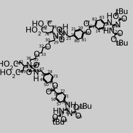 CC(C)(C)OC(=O)N=C(NC(=O)OC(C)(C)C)Nc1ccc(C(=O)Oc2ccc(CNS(=O)(=O)N(CCOCCOCCN(C(CC(=O)O)CC(=O)O)S(=O)(=O)NCc3ccc(OC(=O)c4ccc(NC(=NC(=O)OC(C)(C)C)NC(=O)OC(C)(C)C)cc4)cc3)C(CC(=O)O)CC(=O)O)cc2)cc1